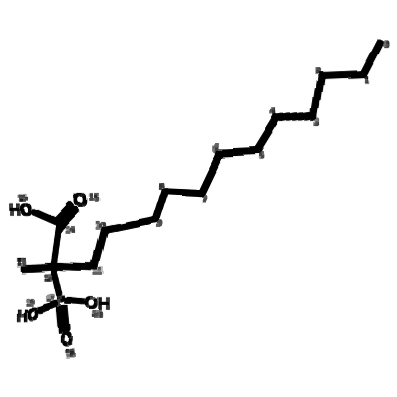 CCCCCCCCCCCCC(C)(C(=O)O)P(=O)(O)O